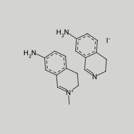 C[N+]1=Cc2cc(N)ccc2CC1.Nc1ccc2c(c1)C=NCC2.[I-]